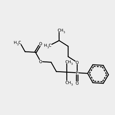 CCC(=O)OCCC(C)(C)P(=O)(OCCC(C)C)c1ccccc1